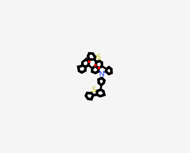 c1ccc(N(c2ccc(-c3cccc4ccccc34)cc2)c2ccc(-c3cccc4c3sc3ccccc34)cc2)c(-c2ccc3c(c2)sc2ccccc23)c1